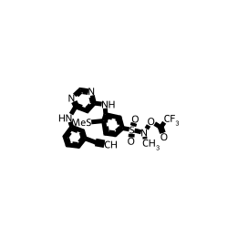 C#Cc1cccc(Nc2cc(Nc3cc(S(=O)(=O)N(C)OC(=O)C(F)(F)F)ccc3SC)ncn2)c1